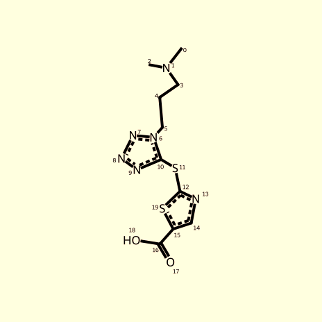 CN(C)CCCn1nnnc1Sc1ncc(C(=O)O)s1